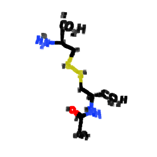 CCCC(=O)N[C@H](CSSC[C@@H](N)C(=O)O)C(=O)O